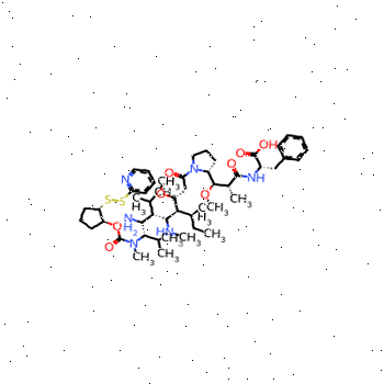 CC[C@H](C)[C@@H](C(NC)[C@@H](C(C)C)C(N)[C@H](C(C)C)N(C)C(=O)O[C@H]1CCC[C@@H]1SSc1ccccn1)[C@@H](CC(=O)N1CCC[C@@H]1[C@H](OC)[C@@H](C)C(=O)N[C@@H](Cc1ccccc1)C(=O)O)OC